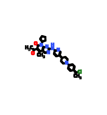 CC(=O)c1c(C)c2cnc(Nc3ccc(C4CCN(c5ccc([C@@H](C)Cl)cc5)CC4)cn3)nc2n(C2CCCC2)c1=O